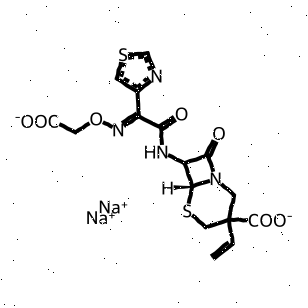 C=CC1(C(=O)[O-])CS[C@@H]2C(NC(=O)C(=NOCC(=O)[O-])c3cscn3)C(=O)N2C1.[Na+].[Na+]